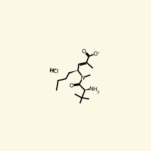 CCCC[C@@H](/C=C(\C)C(=O)[O-])N(C)C(=O)[C@@H](N)C(C)(C)C.Cl.[H+]